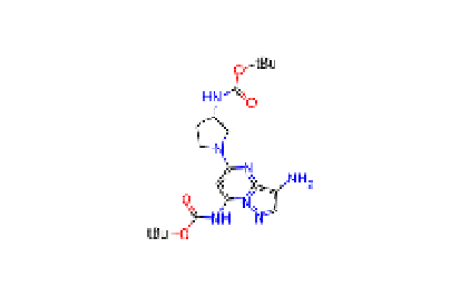 CC(C)(C)OC(=O)Nc1cc(N2CC[C@H](NC(=O)OC(C)(C)C)C2)nc2c(N)cnn12